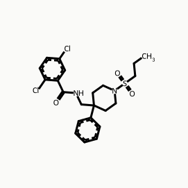 CCCS(=O)(=O)N1CCC(CNC(=O)c2cc(Cl)ccc2Cl)(c2ccccc2)CC1